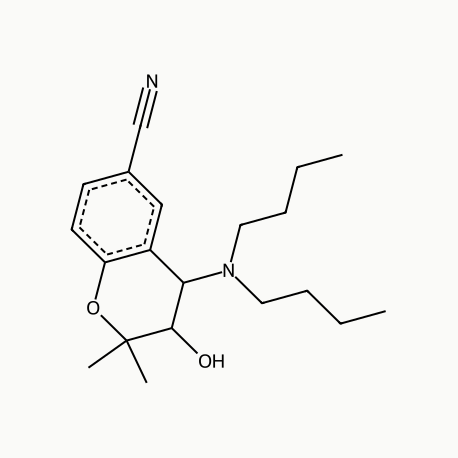 CCCCN(CCCC)C1c2cc(C#N)ccc2OC(C)(C)C1O